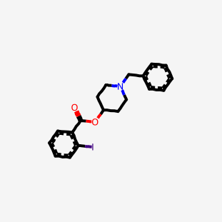 O=C(OC1CCN(Cc2ccccc2)CC1)c1ccccc1I